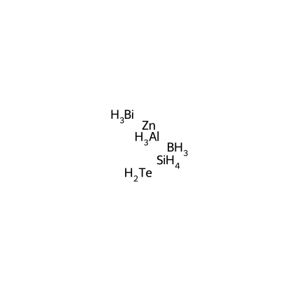 B.[AlH3].[BiH3].[SiH4].[TeH2].[Zn]